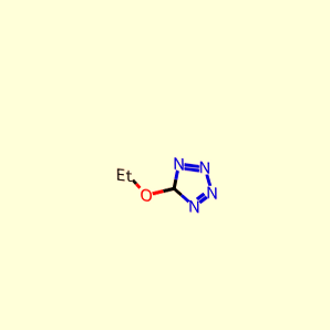 CCOC1N=NN=N1